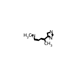 C=N/C=C\C=C(/C)C1=NC=NC1